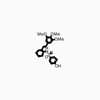 COc1cc(C=Cc2ccccc2NS(=O)(=O)c2ccc(O)cc2)cc(OC)c1OC